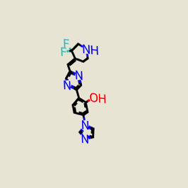 Oc1cc(-n2ccnc2)ccc1-c1cnc(C=C2CCNCC2(F)F)cn1